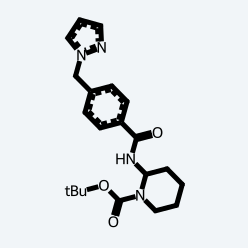 CC(C)(C)OC(=O)N1CCCCC1NC(=O)c1ccc(Cn2cccn2)cc1